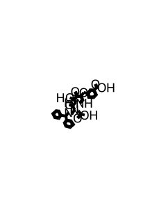 O=C(O)CN(CNC(c1ccccc1)c1ccccc1)C(=O)c1[nH]cc(Oc2cccc(C(=O)O)c2)c(=O)c1O